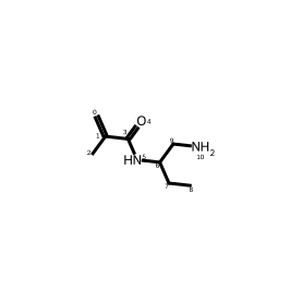 C=C(C)C(=O)NC(CC)CN